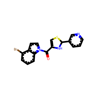 O=C(C1=CSC(c2cccnc2)N1)n1ccc2c(Br)cccc21